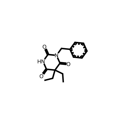 CCC1(CC)C(=O)NC(=O)N(Cc2ccccc2)C1=O